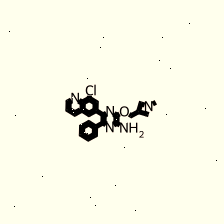 CN1CC(COc2nc(-c3cc(Cl)c4ncccc4c3)c(-c3ccccc3)nc2N)C1